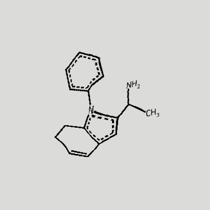 CC(N)c1cc2c(n1-c1ccccc1)CCC=C2